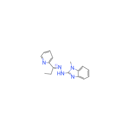 CC/C(=N\Nc1nc2ccccc2n1C)c1ccccn1